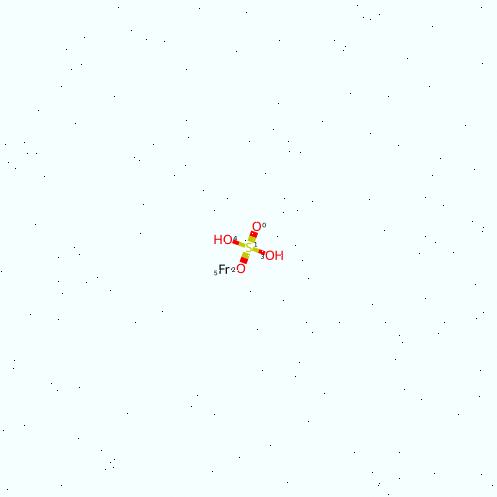 O=S(=O)(O)O.[Fr]